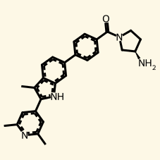 Cc1cc(-c2[nH]c3cc(-c4ccc(C(=O)N5CC[C@@H](N)C5)cc4)ccc3c2C)cc(C)n1